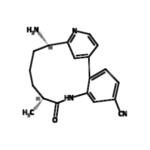 C[C@@H]1CCC[C@H](N)c2cc(ccn2)-c2ccc(C#N)cc2NC1=O